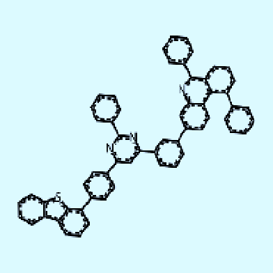 c1ccc(-c2nc(-c3ccc(-c4cccc5c4sc4ccccc45)cc3)cc(-c3cccc(-c4ccc5c(c4)nc(-c4ccccc4)c4cccc(-c6ccccc6)c45)c3)n2)cc1